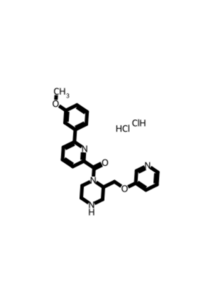 COc1cccc(-c2cccc(C(=O)N3CCNCC3COc3cccnc3)n2)c1.Cl.Cl